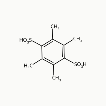 Cc1c(C)c(S(=O)(=O)O)c(C)c(C)c1S(=O)(=O)O